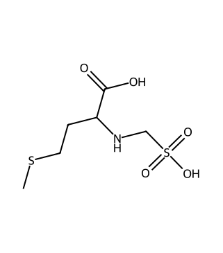 CSCCC(NCS(=O)(=O)O)C(=O)O